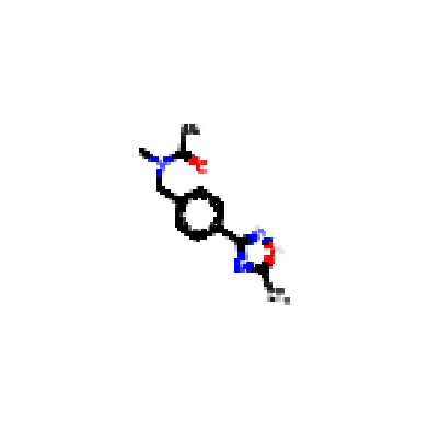 CCC(C)C(=O)N(C)Cc1ccc(-c2noc(C(F)(F)F)n2)cc1